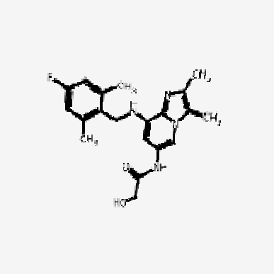 Cc1cc(F)cc(C)c1CNc1cc(NC(=O)CO)cn2c(C)c(C)nc12